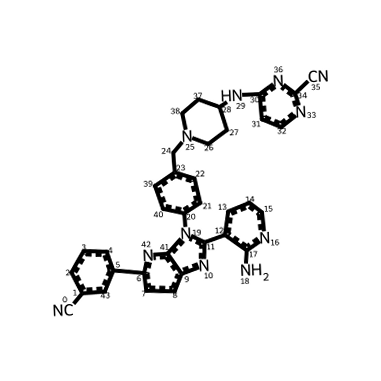 N#Cc1cccc(-c2ccc3nc(-c4cccnc4N)n(-c4ccc(CN5CCC(Nc6ccnc(C#N)n6)CC5)cc4)c3n2)c1